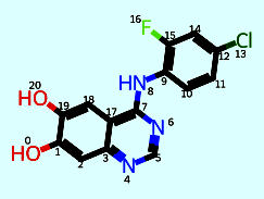 Oc1cc2ncnc(Nc3ccc(Cl)cc3F)c2cc1O